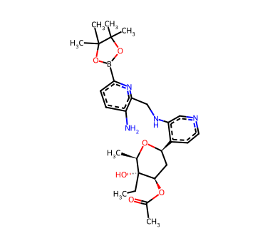 CC[C@@]1(O)[C@@H](C)O[C@@H](c2ccncc2NCc2nc(B3OC(C)(C)C(C)(C)O3)ccc2N)C[C@H]1OC(C)=O